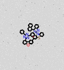 c1ccc(-c2nc(-c3ccccc3)nc(-c3cccc4oc5ccc(-c6ccc7c(c6)Sc6ccccc6N7c6nc(-c7cccc8ccccc78)c7ccccc7n6)cc5c34)n2)cc1